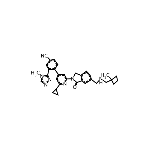 Cn1cnnc1-c1cc(C#N)ccc1-c1cc(C2CC2)nc(N2Cc3ccc(CNCC4(C)CCC4)cc3C2=O)c1